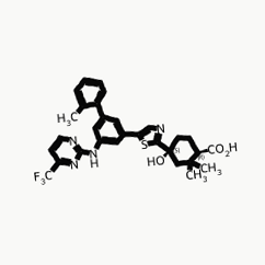 Cc1ccccc1-c1cc(Nc2nccc(C(F)(F)F)n2)cc(-c2cnc([C@]3(O)CC[C@@H](C(=O)O)C(C)(C)C3)s2)c1